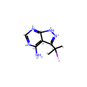 CC(C)(I)c1n[nH]c2ncnc(N)c12